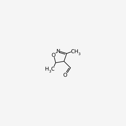 CC1=NOC(C)C1C=O